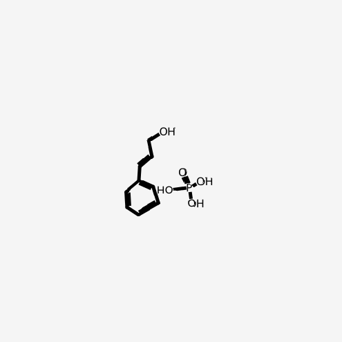 O=P(O)(O)O.OCC=Cc1ccccc1